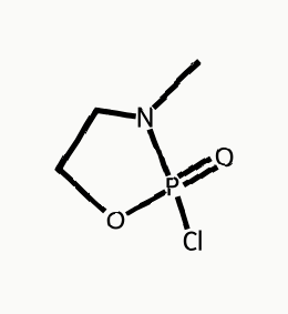 CN1CCOP1(=O)Cl